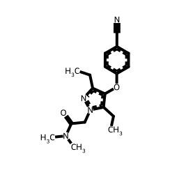 CCc1nn(CC(=O)N(C)C)c(CC)c1Oc1ccc(C#N)cc1